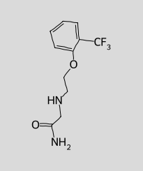 NC(=O)CNCCOc1ccccc1C(F)(F)F